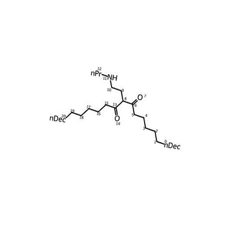 CCCCCCCCCCCCCCCC(=O)C(CCNCCC)C(=O)CCCCCCCCCCCCCCC